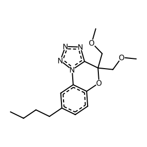 CCCCc1ccc2c(c1)-n1nnnc1C(COC)(COC)O2